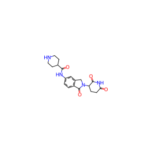 O=C1CCC(N2Cc3cc(NC(=O)C4CCNCC4)ccc3C2=O)C(=O)N1